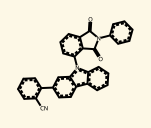 N#Cc1ccccc1-c1ccc2c3ccccc3n(-c3cccc4c3C(=O)N(c3ccccc3)C4=O)c2c1